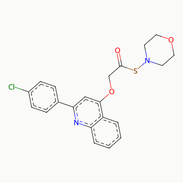 O=C(COc1cc(-c2ccc(Cl)cc2)nc2ccccc12)SN1CCOCC1